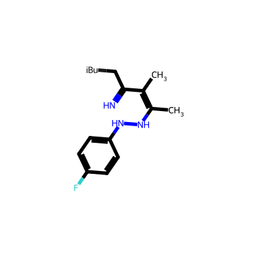 CCC(C)CC(=N)C(C)=C(C)NNc1ccc(F)cc1